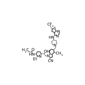 C=CC(=O)Nc1ccc(C(O)Cn2c(C#N)cc3c(C)c(CN4CCC(Nc5ncnc6sc(CC(F)(F)F)cc56)CC4)ccc32)nc1CC